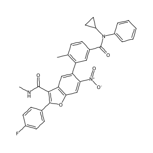 CNC(=O)c1c(-c2ccc(F)cc2)oc2cc([N+](=O)[O-])c(-c3cc(C(=O)N(c4ccccc4)C4CC4)ccc3C)cc12